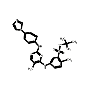 Cc1ccc(Nc2nc(Nc3ccc(-n4ccnc4)cc3)ncc2C)cc1S(=O)(=O)NC(C)(C)C